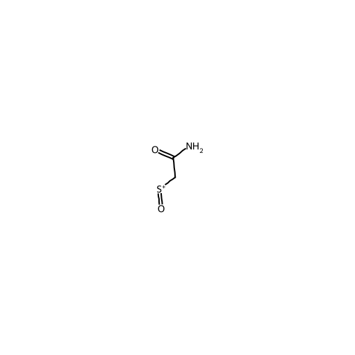 NC(=O)C[S+]=O